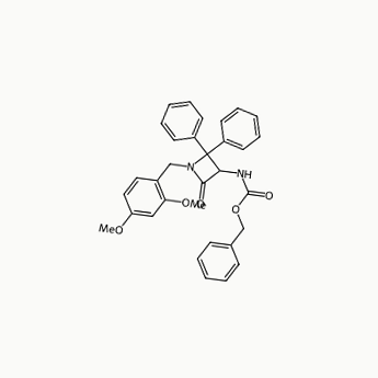 COc1ccc(CN2C(=O)C(NC(=O)OCc3ccccc3)C2(c2ccccc2)c2ccccc2)c(OC)c1